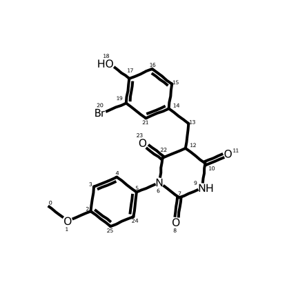 COc1ccc(N2C(=O)NC(=O)C(Cc3ccc(O)c(Br)c3)C2=O)cc1